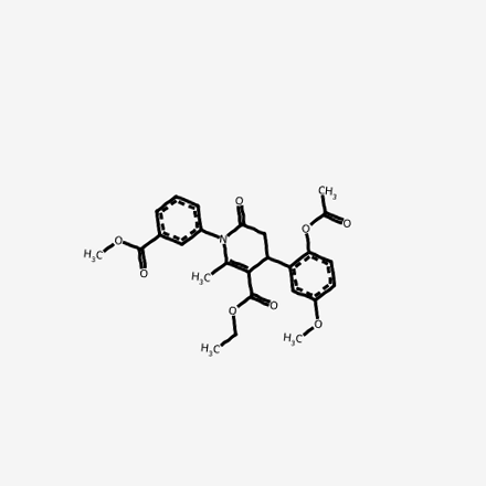 CCOC(=O)C1=C(C)N(c2cccc(C(=O)OC)c2)C(=O)CC1c1cc(OC)ccc1OC(C)=O